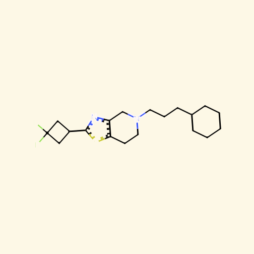 FC1(F)CC(c2nc3c(s2)CCN(CCCC2CCCCC2)C3)C1